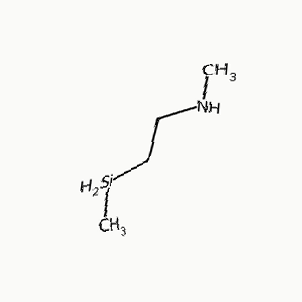 CNCC[SiH2]C